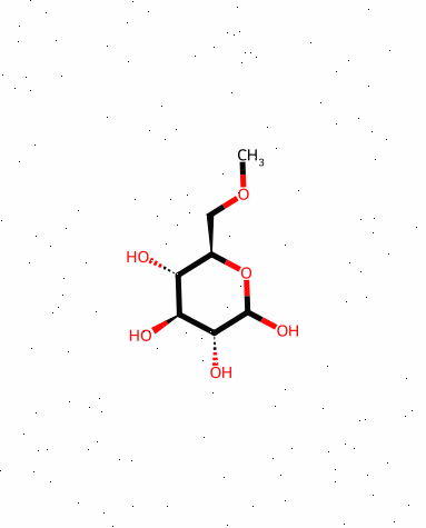 COC[C@H]1OC(O)[C@H](O)[C@@H](O)[C@@H]1O